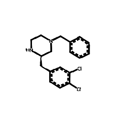 Clc1ccc(C[C@@H]2CN(Cc3ccccc3)CCN2)cc1Cl